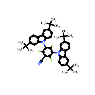 CC(C)(C)c1ccc2c(c1)c1ccc(C(C)(C)C)cc1n2-c1c(F)c(C#N)c(F)c(-n2c3ccc(C(C)(C)C)cc3c3ccc(C(C)(C)C)cc32)c1F